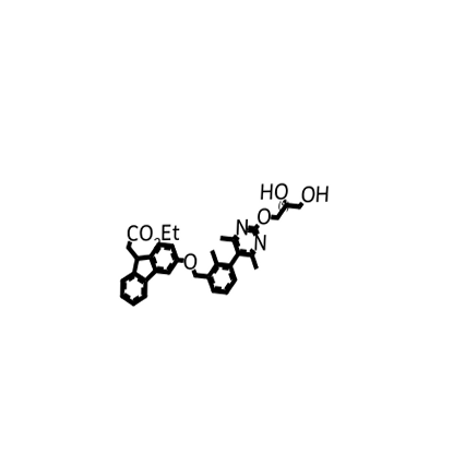 CCOC(=O)CC1c2ccccc2-c2cc(OCc3cccc(-c4c(C)nc(OC[C@@H](O)CO)nc4C)c3C)ccc21